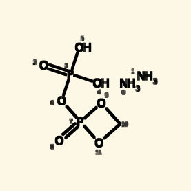 N.N.O=P(O)(O)OP1(=O)OCO1